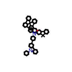 CC1(C)c2ccccc2-c2ccc(N(c3ccc(-c4ccc5c(c4)c4ccccc4n5-c4ccccc4)cc3)c3ccc(-c4cccc5c4C4(c6ccccc6-5)c5ccccc5-c5c4ccc4ccccc54)cc3)cc21